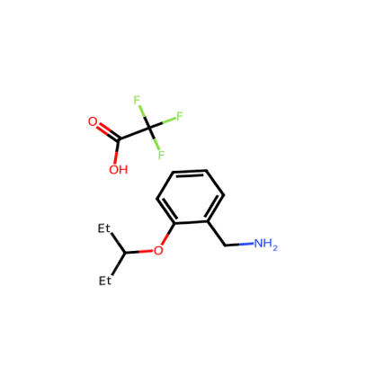 CCC(CC)Oc1ccccc1CN.O=C(O)C(F)(F)F